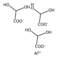 O=C([O-])C(O)O.O=C([O-])C(O)O.O=C([O-])C(O)O.[Al+3]